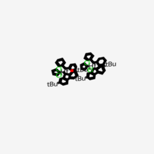 CC(C)(C)c1ccc2c(c1)[CH]([Hf]([Cl])([Cl])(=[C](c1ccccc1)C1CCCCC1)[CH]1C=CC=C1)c1cc(C(C)(C)C)ccc1-2.CC(C)(C)c1ccc2c(c1)[CH]([Hf]([Cl])([Cl])(=[C](c1ccccc1)c1ccccc1)[CH]1C=CC=C1)c1cc(C(C)(C)C)ccc1-2